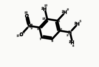 [2H]c1c(N([2H])[2H])ccc([N+](=O)[O-])c1[2H]